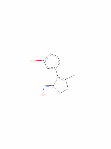 CCCCC1=C(c2cccc(O)c2)C(=NO)CC1